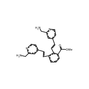 COC(=O)c1cccc(/C=C/c2ccnc(CN)c2)c1/C=C/c1ccnc(CN)c1